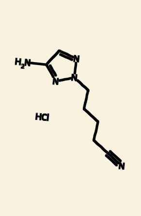 Cl.N#CCCCCn1ncc(N)n1